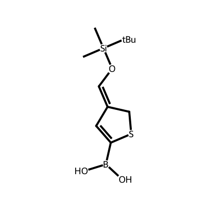 CC(C)(C)[Si](C)(C)OC=C1C=C(B(O)O)SC1